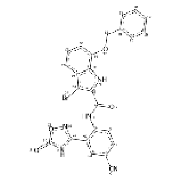 N#Cc1ccc(NC(=O)c2[nH]c3c(OCc4ccccc4)cccc3c2Br)c(-c2noc(=O)[nH]2)c1